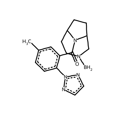 BN1CCC2CCC(C1)N2C(=O)c1cc(C)ccc1-n1nccn1